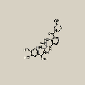 CC(C)(C)C(NC1NSN=C1Nc1cccc(C(=O)N2CCCC(O)C2)c1O)c1ccc(O)c(O)c1